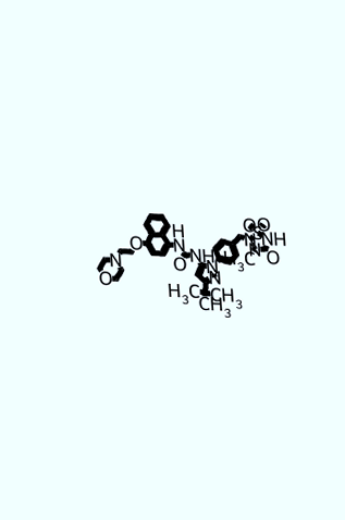 CN1C(=O)NS(=O)(=O)N1Cc1ccc(-n2nc(C(C)(C)C)cc2NC(=O)Nc2ccc(OCCN3CCOCC3)c3ccccc23)cc1